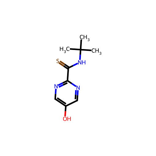 CC(C)(C)NC(=S)c1ncc(O)cn1